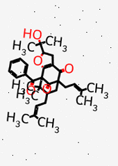 CC(C)=CCC1CC2(CC=C(C)C)C(=O)C3=C(OC(C(C)(C)O)C3)C(C(=O)c3ccccc3)(C2=O)C1(C)C